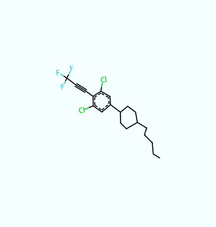 CCCCCC1CCC(c2cc(Cl)c(C#CC(F)(F)F)c(Cl)c2)CC1